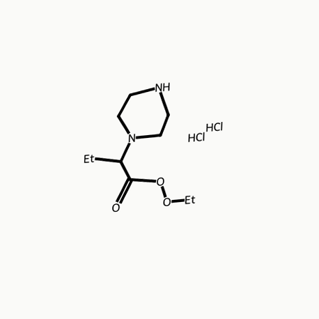 CCOOC(=O)C(CC)N1CCNCC1.Cl.Cl